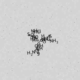 Cl.NCCCC[C@H](NC(=O)Cc1ccsc1)C(=O)Nc1ccc(C(c2ccc(NC(=O)[C@H](CCCCN)NC(=O)Cc3ccsc3)cc2)c2ccc(NC(=O)[C@H](CCCCN)NC(=O)Cc3ccsc3)cc2)cc1